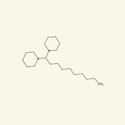 CCCCCCCCCC(N1CCCCC1)N1CCCCC1